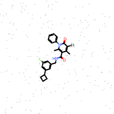 CCc1c(C)c(C(=O)NCc2cc(F)cc(C3CCC3)c2)c(C)n(-c2ccccc2)c1=O